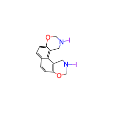 IN1COc2ccc3ccc4c(c3c2C1)CN(I)CO4